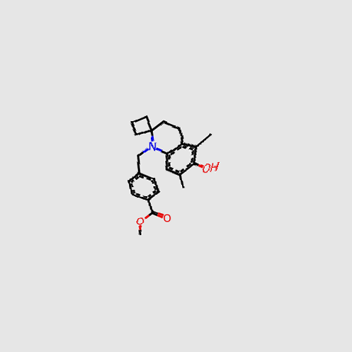 COC(=O)c1ccc(CN2c3cc(C)c(O)c(C)c3CCC23CCC3)cc1